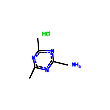 Cc1nc(C)nc(C)n1.Cl.N